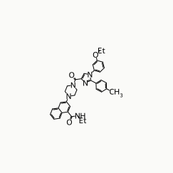 CCNC(=O)c1cc(N2CCN(C(=O)c3cn(-c4cccc(OCC)c4)c(-c4ccc(C)cc4)n3)CC2)cc2ccccc12